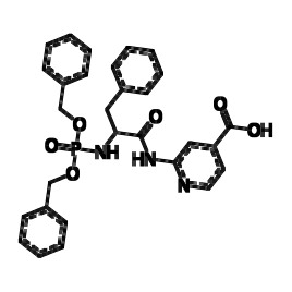 O=C(O)c1ccnc(NC(=O)C(Cc2ccccc2)NP(=O)(OCc2ccccc2)OCc2ccccc2)c1